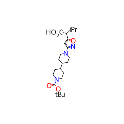 CC(C)C(C(=O)O)c1cc(N2CCC(C3CCN(C(=O)OC(C)(C)C)CC3)CC2)no1